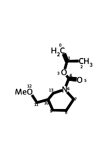 C=C(C)OC(=O)N1CCCC(COC)C1